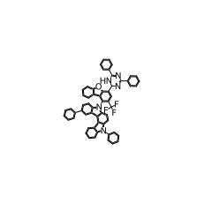 FC(F)(F)c1cc(C2N=C(c3ccccc3)N=C(c3ccccc3)N2)c2oc3ccccc3c2c1-n1c2ccc(-c3ccccc3)cc2c2c3c4ccccc4n(-c4ccccc4)c3ccc21